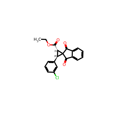 CCOC(=O)[C@H]1[C@H](c2cccc(Cl)c2)C12C(=O)c1ccccc1C2=O